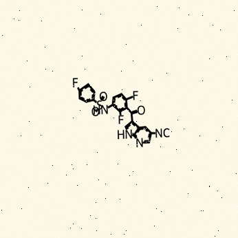 [C-]#[N+]c1cnc2[nH]cc(C(=O)c3c(F)ccc(NS(=O)(=O)c4ccc(F)cc4)c3F)c2c1